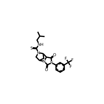 CC(C)CNC(=S)N1CC2CC1C1C(=O)N(c3cccc(C(F)(F)F)c3)C(=O)N21